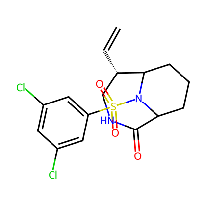 C=C[C@H]1CNC(=O)C2CCCC1N2S(=O)(=O)c1cc(Cl)cc(Cl)c1